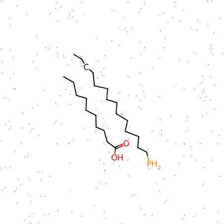 CCCCCCCCCC(=O)O.CCCCCCCCCCCCCCP